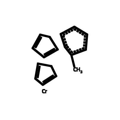 C1=CCC=C1.C1=CCC=C1.Cc1ccccc1.[Cr]